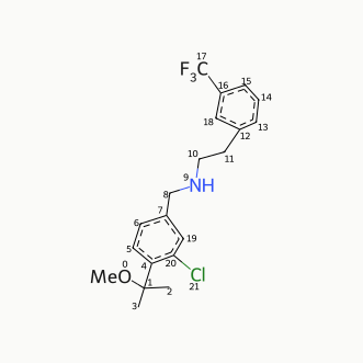 COC(C)(C)c1ccc(CNCCc2cccc(C(F)(F)F)c2)cc1Cl